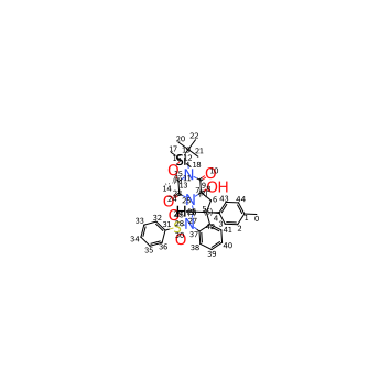 Cc1ccc([C@]23C[C@@]4(O)C(=O)N(C)[C@](C)(O[Si](C)(C)C(C)(C)C)C(=O)N4[C@H]2N(S(=O)(=O)c2ccccc2)c2ccccc23)cc1